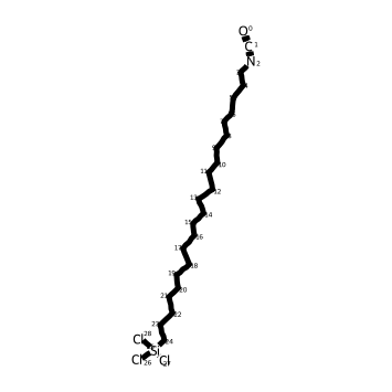 O=C=NCCCCCCCCCCCCCCCCCCCCCC[Si](Cl)(Cl)Cl